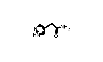 NC(=O)Cc1cn[nH]c1